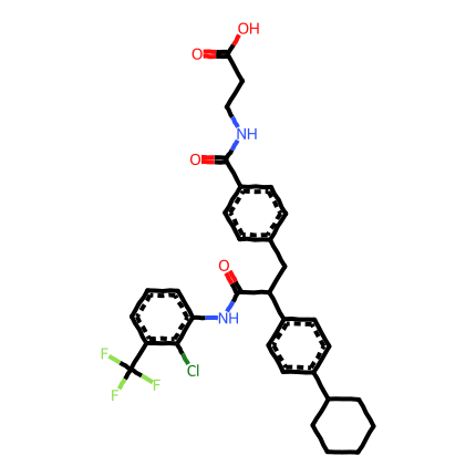 O=C(O)CCNC(=O)c1ccc(CC(C(=O)Nc2cccc(C(F)(F)F)c2Cl)c2ccc(C3CCCCC3)cc2)cc1